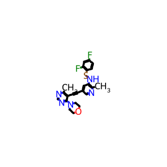 Cc1ncc(C#Cc2c(C)ncnc2N2CCOCC2)cc1NSc1ccc(F)cc1F